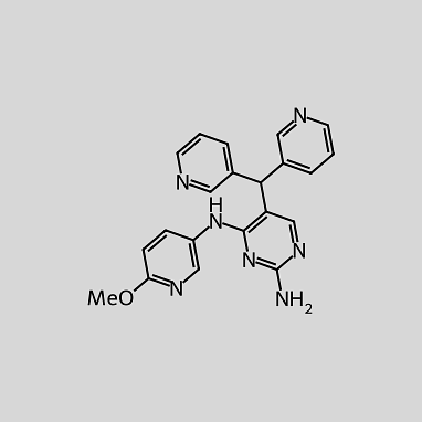 COc1ccc(Nc2nc(N)ncc2C(c2cccnc2)c2cccnc2)cn1